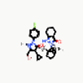 CC1(C)C2CCC1(C)C(n1[nH]c3c(c1=O)CCCC3)C2.CCn1c(CBr)c(C2CC2)c(=O)n1-c1ccc(F)cc1